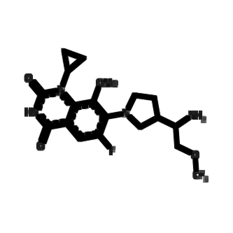 COc1c(N2CCC(C(N)COC(F)(F)F)C2)c(F)cc2c(=O)[nH]c(=O)n(C3CC3)c12